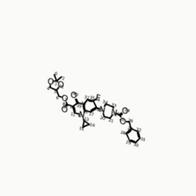 CC1(C)OCC(COC(=O)c2cn(C3CC3)c3cc(N4CCN(C(=O)OCc5ccccc5)CC4)c(F)cc3c2=O)O1